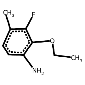 CCOc1c(N)ccc(C)c1F